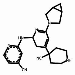 N#Cc1ccnc(NC2CC(C3(C#N)CCNCC3)=CC(N3CC4CC4C3)=N2)c1